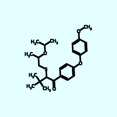 COc1ccc(Oc2ccc(C(=O)C(SCC(C)OC(C)C)C(C)(C)C)cc2)cc1